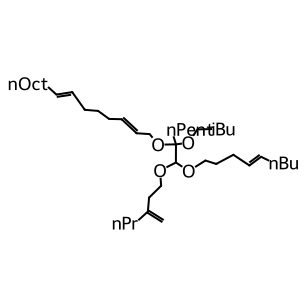 C=C(CCC)CCOC(OCCCC=CCCCC)C(CCCCC)(OCC=CCCCC=CCCCCCCCC)OCC(C)CC